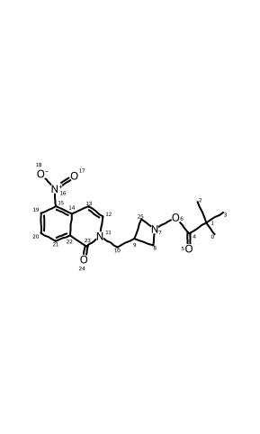 CC(C)(C)C(=O)ON1CC(Cn2ccc3c([N+](=O)[O-])cccc3c2=O)C1